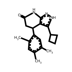 Cc1cc(C)c(C2CC(=O)Nc3n[nH]c(C4CCC4)c32)cc1C